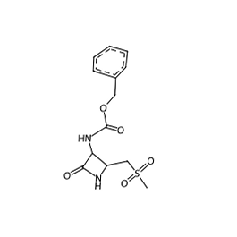 CS(=O)(=O)CC1NC(=O)C1NC(=O)OCc1ccccc1